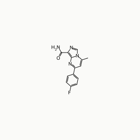 Cc1cc(-c2ccc(F)cc2)nc2c(C(N)=O)ncn12